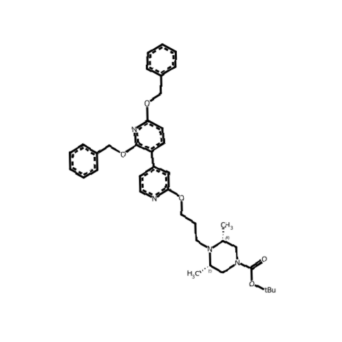 C[C@@H]1CN(C(=O)OC(C)(C)C)C[C@H](C)N1CCCOc1cc(-c2ccc(OCc3ccccc3)nc2OCc2ccccc2)ccn1